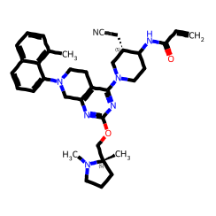 C=CC(=O)NC1CCN(c2nc(OC[C@]3(C)CCCN3C)nc3c2CCN(c2cccc4cccc(C)c24)C3)C[C@@H]1CC#N